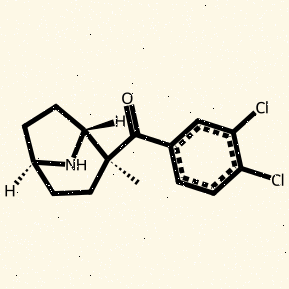 C[C@]1(C(=O)c2ccc(Cl)c(Cl)c2)CC[C@H]2CC[C@H]1N2